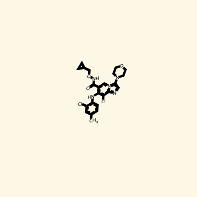 Cc1ccc(Nc2c(C(=O)NOCC3CC3)cn3c(N4CCOCC4)cnc3c2Cl)c(Cl)c1